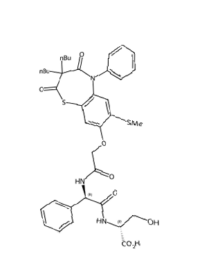 CCCCC1(CCCC)C(=O)Sc2cc(OCC(=O)N[C@@H](C(=O)N[C@H](CO)C(=O)O)c3ccccc3)c(SC)cc2N(c2ccccc2)C1=O